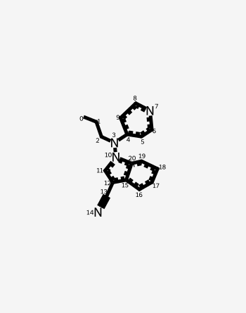 CCCN(c1ccncc1)n1cc(C#N)c2ccccc21